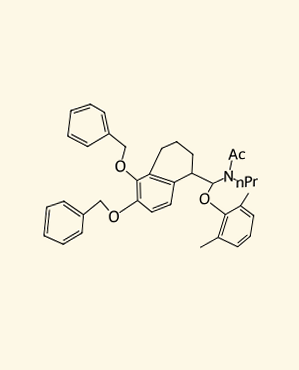 CCCN(C(C)=O)C(Oc1c(C)cccc1C)C1CCCc2c1ccc(OCc1ccccc1)c2OCc1ccccc1